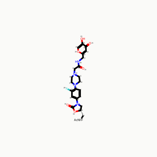 CC(=O)NC[C@H]1CN(c2ccc(N3CCN(CC(=O)NCc4cc(=O)c(O)co4)CC3)c(F)c2)C(=O)O1